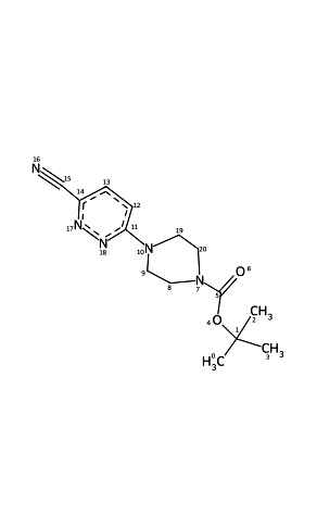 CC(C)(C)OC(=O)N1CCN(c2ccc(C#N)nn2)CC1